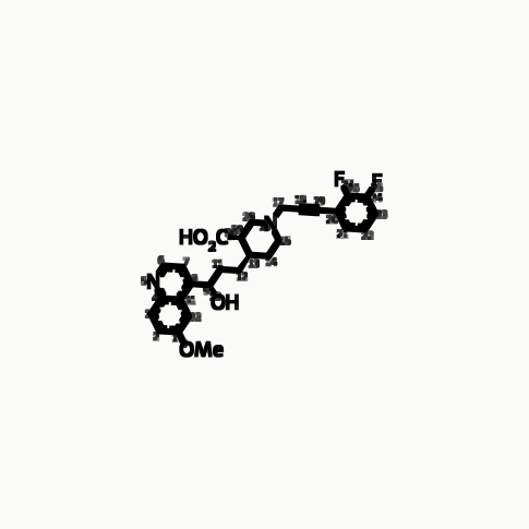 COc1ccc2nccc([C@H](O)CC[C@@H]3CCN(CC#Cc4cccc(F)c4F)C[C@@H]3C(=O)O)c2c1